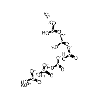 O=S([O-])O.O=S([O-])O.O=S([O-])O.O=S([O-])O.O=S([O-])O.O=S([O-])O.[Au+3].[K+].[K+].[K+]